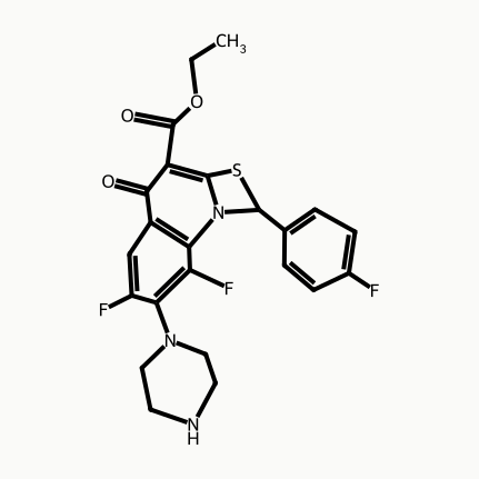 CCOC(=O)c1c2n(c3c(F)c(N4CCNCC4)c(F)cc3c1=O)C(c1ccc(F)cc1)S2